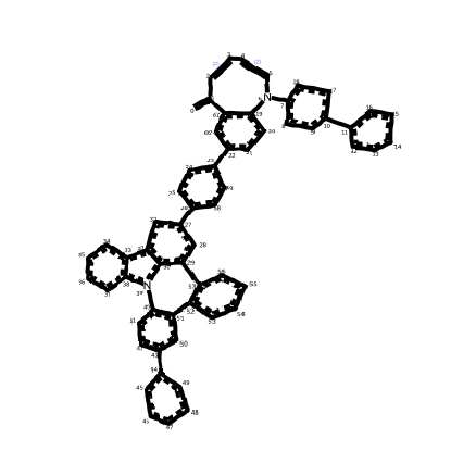 C=C1/C=C\C=C/N(c2ccc(-c3ccccc3)cc2)c2ccc(-c3ccc(-c4cc5c6c(c4)c4ccccc4n6-c4ccc(-c6ccccc6)cc4-c4ccccc4-5)cc3)cc21